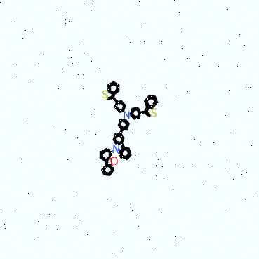 c1ccc2c(c1)oc1c(-n3c4ccccc4c4cc(-c5ccc(N(c6ccc(-c7csc8ccccc78)cc6)c6ccc(-c7csc8ccccc78)cc6)cc5)ccc43)cccc12